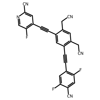 N#CCc1cc(CC#N)c(C#Cc2cc(F)c(C#N)cc2F)cc1C#Cc1cc(C#N)ncc1F